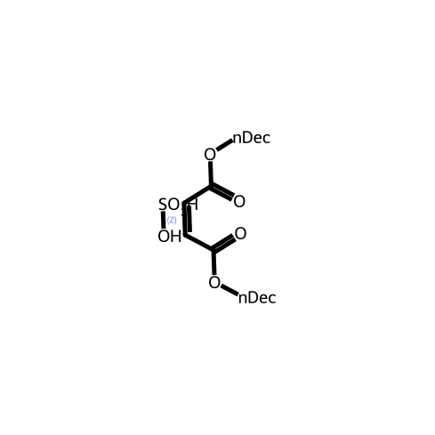 CCCCCCCCCCOC(=O)/C=C\C(=O)OCCCCCCCCCC.O=S(=O)(O)O